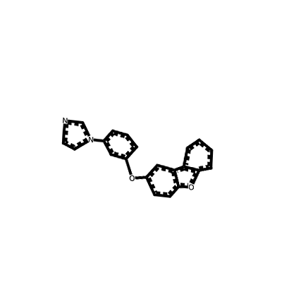 c1cc(Oc2ccc3oc4ccccc4c3c2)cc(-n2ccnc2)c1